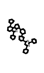 c1ccc(-c2cc(-c3cccc(-c4cccc(-c5cccc6c5nc(-c5ccccc5)c5cccc(-c7ccccc7)c56)c4)c3)nc(-c3ccccc3)n2)cc1